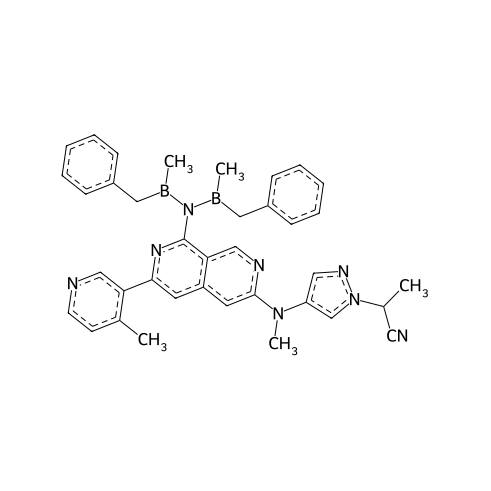 CB(Cc1ccccc1)N(B(C)Cc1ccccc1)c1nc(-c2cnccc2C)cc2cc(N(C)c3cnn(C(C)C#N)c3)ncc12